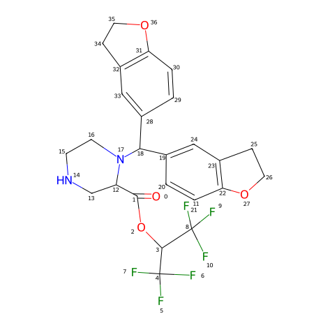 O=C(OC(C(F)(F)F)C(F)(F)F)C1CNCCN1C(c1ccc2c(c1)CCO2)c1ccc2c(c1)CCO2